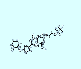 COc1nc(NCCO[Si](C)(C)C(C)(C)C)nc(OC)c1NC(=O)c1csc(Oc2ccccc2C)n1